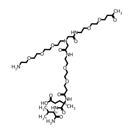 CC(=O)CCOCCOCCNC(=O)CN(CCOCCOCCOCCN)CC(=O)NCCOCCOCCC(=O)N[C@](C)(CCC(=O)O)C(=O)N[C@H](C(N)=O)C(C)C